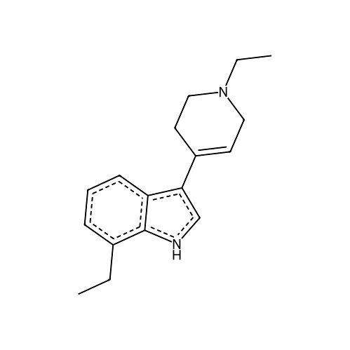 CCc1cccc2c(C3=CCN(CC)CC3)c[nH]c12